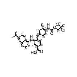 CC(C)c1ccc2c(Nc3cc(C(=O)O)ccc3Sc3ccc(NC(=O)OCC(Cl)(Cl)Cl)c(F)c3)ncnc2n1